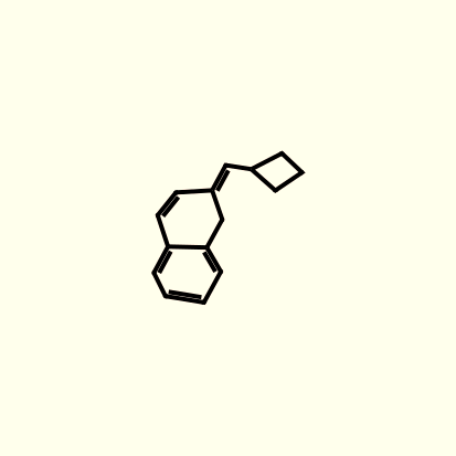 C1=Cc2ccccc2CC1=CC1CCC1